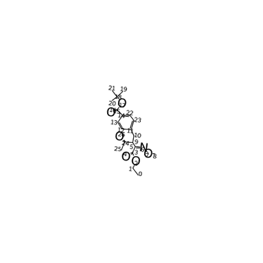 CCOC(=O)C(=NOC)C(Cc1ccc(C(=O)OC(C)(C)C)cc1)C(C)=O